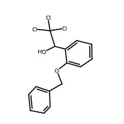 OC(c1ccccc1OCc1ccccc1)C(Cl)(Cl)Cl